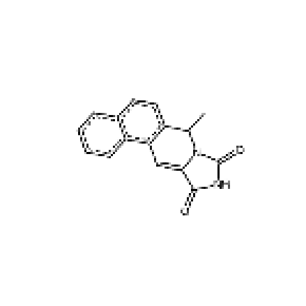 CC1c2ccc3ccccc3c2C=C2C(=O)NC(=O)N21